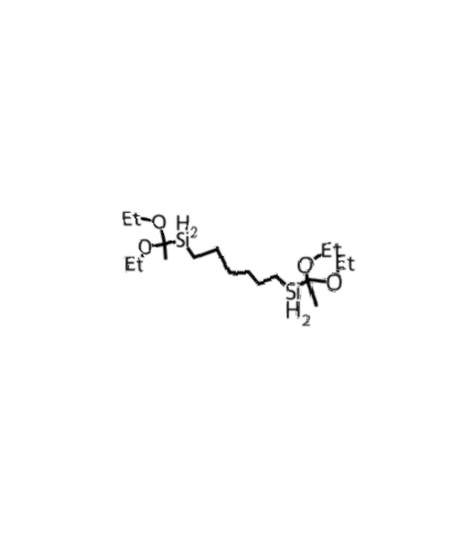 CCOC(C)(OCC)[SiH2]CCCCCC[SiH2]C(C)(OCC)OCC